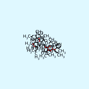 CC[C@H](NC(=O)[C@H]([C@H](O)[C@H](C)CCCc1ccncc1)N(C)C(=O)[C@H](C(C)C)N(C)C(=O)[C@H](CC(C)C)N(C)C(=O)CCC(C)C)C(=O)N(C)CC(=O)N(C)[C@@H](CC(C)C)C(=O)N[C@H](C(=O)N(C)[C@@H](CC(C)C)C(N)=O)C(C)C